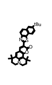 CC(C)(C)c1ccc2c(ccc3nc(-c4cc5cc6c7c(c5oc4=O)C(C)(C)CCN7CCC6(C)C)sc32)c1